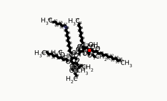 C=CCOC(=O)O[C@H](C(COC1OC(COC)[C@@H](OP(=O)(OCC=C)OCC=C)C(OCCC(CCCCCCC)OC)[C@H]1NC(=O)CCCCCCCCC/C=C\CCCCCC)OC)C(OCCCCCCCCCC)[C@H](CO)NC(=O)CC(=O)CCCCCCCCCCC